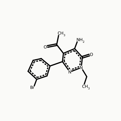 CCn1nc(-c2cccc(Br)c2)c(C(C)=O)c(N)c1=O